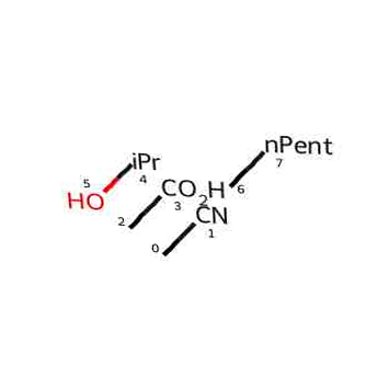 CC#N.CC(=O)O.CC(C)O.CCCCCC